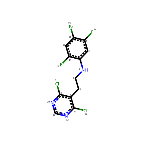 Fc1cc(NCCc2c(Cl)ncnc2Cl)c(F)cc1Br